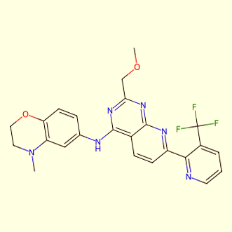 COCc1nc(Nc2ccc3c(c2)N(C)CCO3)c2ccc(-c3ncccc3C(F)(F)F)nc2n1